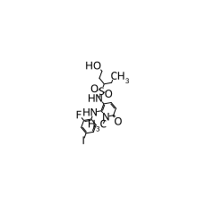 CCC(CCO)S(=O)(=O)Nc1ccc(=O)n(C)c1Nc1ccc(I)cc1F